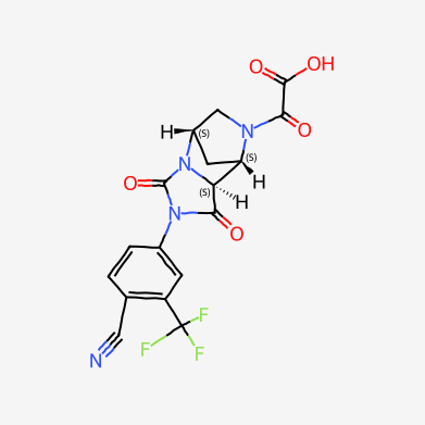 N#Cc1ccc(N2C(=O)[C@@H]3[C@@H]4C[C@@H](CN4C(=O)C(=O)O)N3C2=O)cc1C(F)(F)F